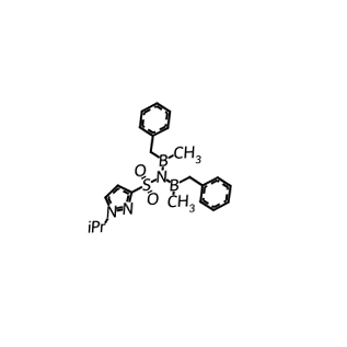 CB(Cc1ccccc1)N(B(C)Cc1ccccc1)S(=O)(=O)c1ccn(C(C)C)n1